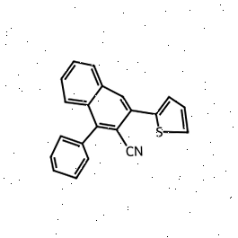 N#Cc1c(-c2cccs2)cc2ccccc2c1-c1ccccc1